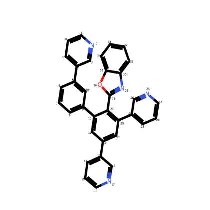 c1cncc(-c2cccc(-c3cc(-c4cccnc4)cc(-c4cccnc4)c3-c3nc4ccccc4o3)c2)c1